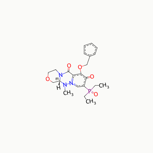 CCP(=O)(CC)c1cn2c(c(OCc3ccccc3)c1=O)C(=O)N1CCOC[C@H]1N2C